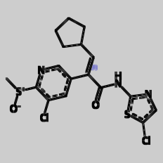 C[S+]([O-])c1ncc(/C(=C\C2CCCC2)C(=O)Nc2ncc(Cl)s2)cc1Cl